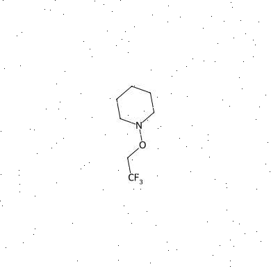 FC(F)(F)CON1CCCCC1